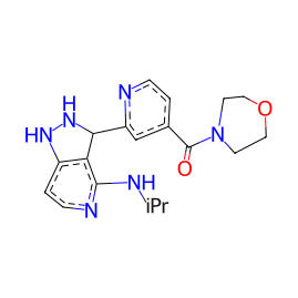 CC(C)Nc1nccc2c1C(c1cc(C(=O)N3CCOCC3)ccn1)NN2